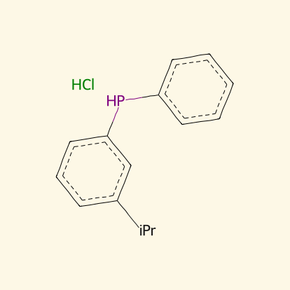 CC(C)c1cccc(Pc2ccccc2)c1.Cl